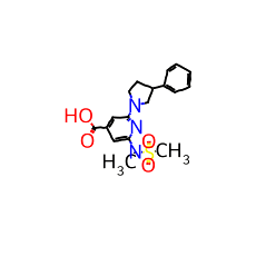 CN(c1cc(C(=O)O)cc(N2CCC(c3ccccc3)C2)n1)S(C)(=O)=O